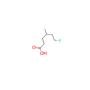 CC(CCF)CCC(=O)O